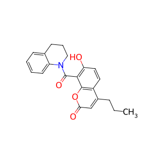 CCCc1cc(=O)oc2c(C(=O)N3CCCc4ccccc43)c(O)ccc12